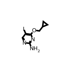 Nc1ncc(I)c(OCC2CC2)n1